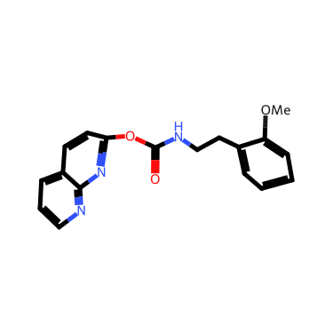 COc1ccccc1CCNC(=O)Oc1ccc2cccnc2n1